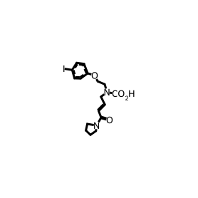 O=C(O)N(C/C=C/C(=O)N1CCCC1)CCOc1ccc(I)cc1